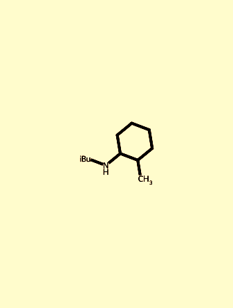 CCC(C)NC1CCCCC1C